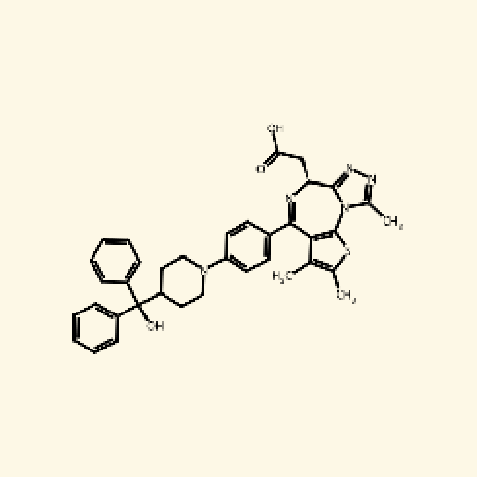 Cc1sc2c(c1C)C(c1ccc(N3CCC(C(O)(c4ccccc4)c4ccccc4)CC3)cc1)=N[C@@H](CC(=O)O)c1nnc(C)n1-2